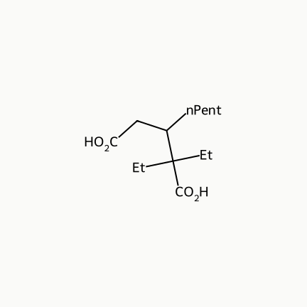 CCCCCC(CC(=O)O)C(CC)(CC)C(=O)O